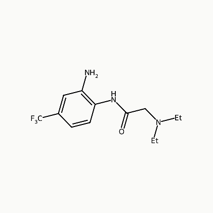 CCN(CC)CC(=O)Nc1ccc(C(F)(F)F)cc1N